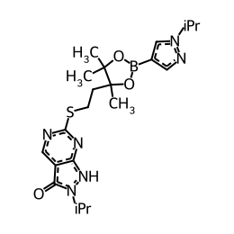 CC(C)n1cc(B2OC(C)(C)C(C)(CCSc3ncc4c(=O)n(C(C)C)[nH]c4n3)O2)cn1